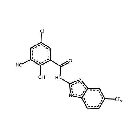 N#Cc1cc(Cl)cc(C(=O)Nc2nc3ccc(C(F)(F)F)cc3s2)c1O